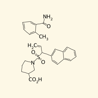 C=CC(c1ccc2ccccc2c1)S(=O)(=O)N1CCCC(C(=O)O)C1.Cc1ccccc1C(N)=O